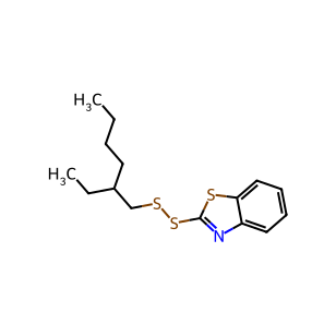 CCCCC(CC)CSSc1nc2ccccc2s1